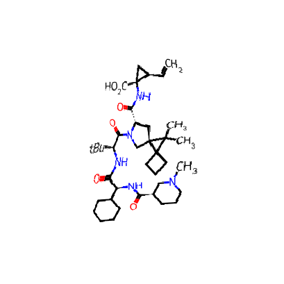 C=C[C@@H]1C[C@]1(NC(=O)[C@@H]1C[C@@]2(CN1C(=O)[C@@H](NC(=O)[C@@H](NC(=O)[C@@H]1CCCN(C)C1)C1CCCCC1)C(C)(C)C)C(C)(C)C21CCC1)C(=O)O